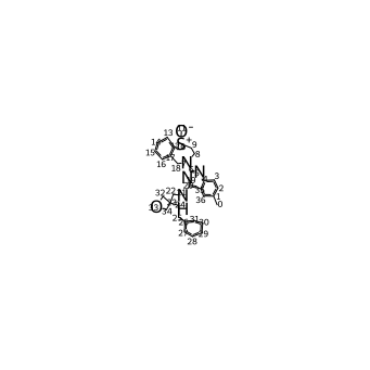 Cc1ccc2nc(N3CC[S+]([O-])c4ccccc4C3)nc(NCC3(CCc4ccccc4)COC3)c2c1